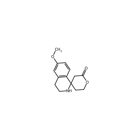 COc1ccc2c(c1)CCNC21CCOC(=O)C1